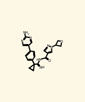 N=C(NC(=O)c1cnn(C2COC2)c1)C1(c2ccc(-c3cnc(N)nc3)cc2)CC1